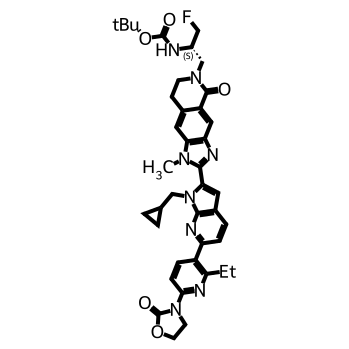 CCc1nc(N2CCOC2=O)ccc1-c1ccc2cc(-c3nc4cc5c(cc4n3C)CCN(C[C@@H](CF)NC(=O)OC(C)(C)C)C5=O)n(CC3CC3)c2n1